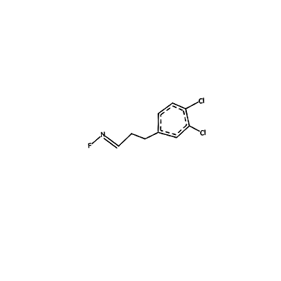 FN=CCCc1ccc(Cl)c(Cl)c1